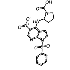 O=C(O)N1CCCC1Nc1c([N+](=O)[O-])cnc2c1ccn2S(=O)(=O)c1ccccc1